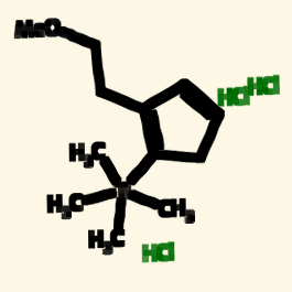 COCCC1=[C]([Ti]([CH3])([CH3])([CH3])[CH3])CC=C1.Cl.Cl.Cl